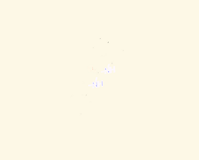 CC(C)(C)c1cccc(NC(=O)NCC2CCCC2)c1